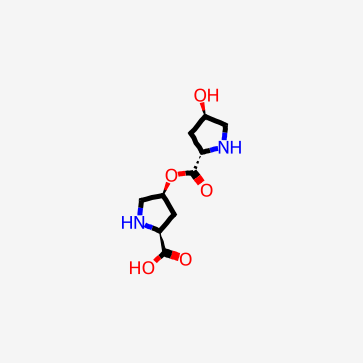 O=C(O)[C@@H]1C[C@H](OC(=O)[C@@H]2C[C@@H](O)CN2)CN1